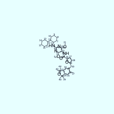 COc1nc(NC2CCCCC2C2CCCCC2)nc(OC)c1NC(=O)c1ccc(Cc2cc3c(cc2C)C(C)(C)OC3(C)C)o1